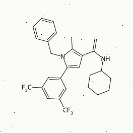 C=C(NC1CCCCC1)c1cc(-c2cc(C(F)(F)F)cc(C(F)(F)F)c2)n(Cc2ccccc2)c1C